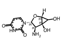 N[C@H]1[C@H](n2ccc(=O)[nH]c2=O)O[C@@H]2C(O)[C@@]21O